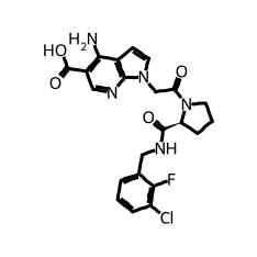 Nc1c(C(=O)O)cnc2c1ccn2CC(=O)N1CCC[C@H]1C(=O)NCc1cccc(Cl)c1F